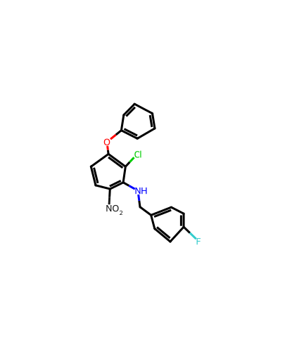 O=[N+]([O-])c1ccc(Oc2ccccc2)c(Cl)c1NCc1ccc(F)cc1